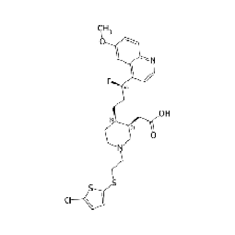 COc1ccc2nccc([C@H](F)CC[C@@H]3CCN(CCSc4ccc(Cl)s4)C[C@@H]3CC(=O)O)c2c1